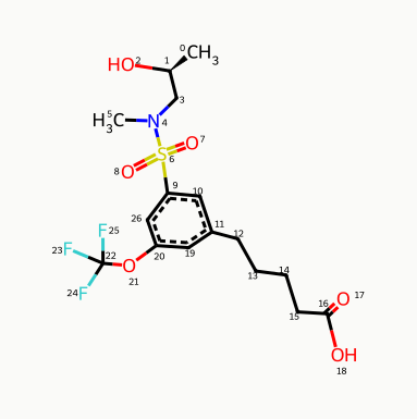 C[C@H](O)CN(C)S(=O)(=O)c1cc(CCCCC(=O)O)cc(OC(F)(F)F)c1